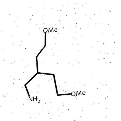 COCCC(CN)CCOC